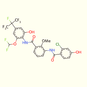 COc1c(NC(=O)c2ccc(O)cc2Cl)cccc1C(=O)Nc1c(O)cc(C(F)(C(F)(F)F)C(F)(F)F)cc1OC(F)F